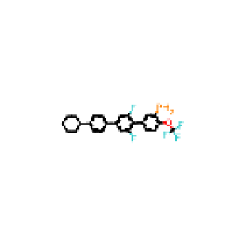 Fc1cc(-c2ccc(C3CCCCC3)cc2)cc(F)c1-c1ccc(OC(F)(F)F)c(P)c1